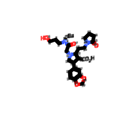 CCCCN(CCCO)C(=O)CN1CC(c2ccc3c(c2)OCO3)C(C(=O)O)C1CCN1CCCC1=O